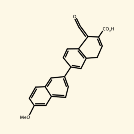 COc1ccc2cc(-c3ccc4c(c3)CC=C(C(=O)O)C4=C=O)ccc2c1